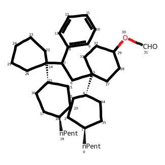 CCCCC[C@H]1CC[C@H](C2(CC(c3ccccc3)C3([C@H]4CC[C@H](CCCCC)CC4)CCCCC3)CCC(OC=O)CC2)CC1